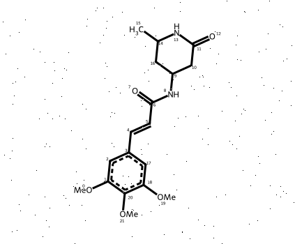 COc1cc(C=CC(=O)NC2CC(=O)NC(C)C2)cc(OC)c1OC